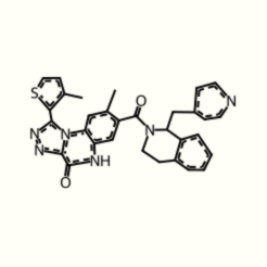 Cc1cc2c(cc1C(=O)N1CCc3ccccc3C1Cc1ccncc1)[nH]c(=O)c1nnc(-c3sccc3C)n12